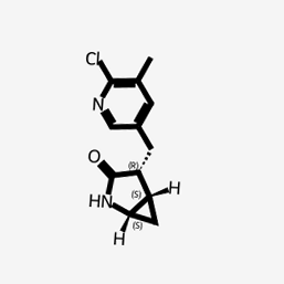 Cc1cc(C[C@H]2C(=O)N[C@H]3C[C@H]32)cnc1Cl